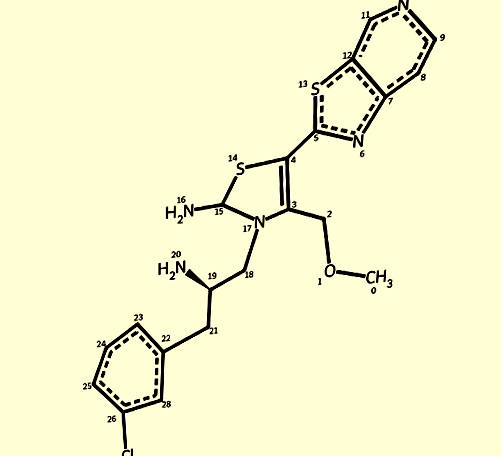 COCC1=C(c2nc3ccncc3s2)SC(N)N1C[C@H](N)Cc1cccc(Cl)c1